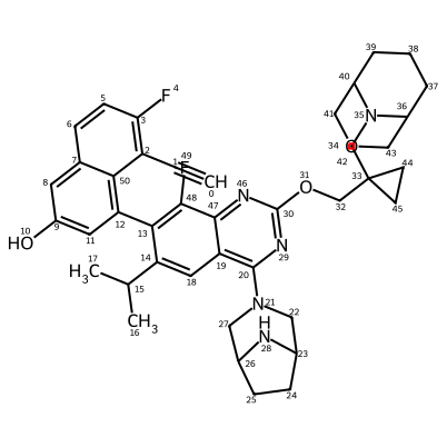 C#Cc1c(F)ccc2cc(O)cc(-c3c(C(C)C)cc4c(N5CC6CCC(C5)N6)nc(OCC5(CN6C7CCCC6COC7)CC5)nc4c3F)c12